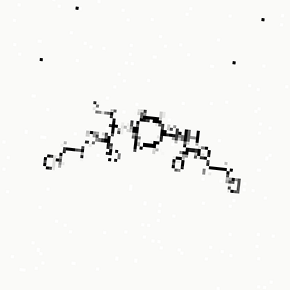 CCN(C(=O)OCCCl)c1ccc(NC(=O)OCCCl)cn1